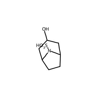 O=S(=O)(O)N1C2CCC1CC(O)C2